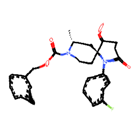 C[C@@H]1C[C@@]2(CCN1C(=O)OCc1ccccc1)C(=O)CC(=O)N2c1cccc(F)c1